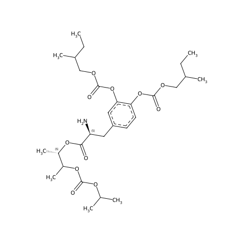 CCC(C)COC(=O)Oc1ccc(C[C@H](N)C(=O)O[C@@H](C)C(C)OC(=O)OC(C)C)cc1OC(=O)OCC(C)CC